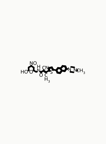 C/C(=C(/C#N)C(=O)NCC1CC(N=O)CC(O)O1)c1ccc(-c2ccc3cc(N4CCN(C)CC4)ccc3c2)s1